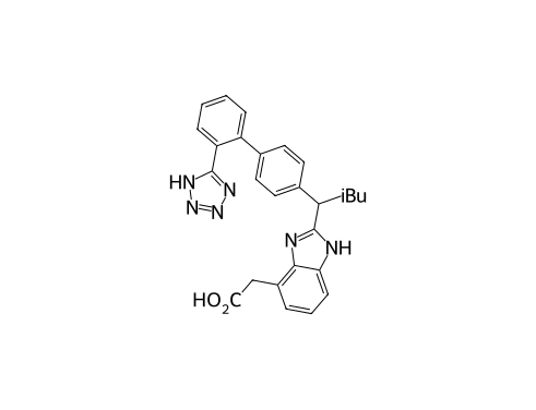 CCC(C)C(c1ccc(-c2ccccc2-c2nnn[nH]2)cc1)c1nc2c(CC(=O)O)cccc2[nH]1